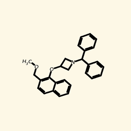 COCc1ccc2ccccc2c1OC1CN(C(c2ccccc2)c2ccccc2)C1